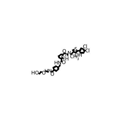 C/C(=N\NC(=O)c1cccc(C(=O)NCc2ccc(C(=O)NCCOCCO)cc2)n1)c1csc(-c2ccc(Cl)c(Cl)c2)c1O